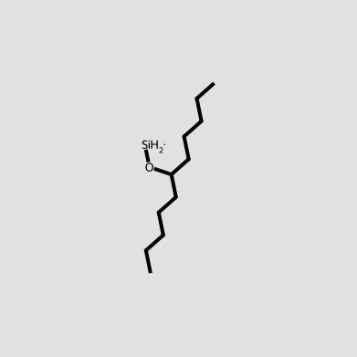 CCCCCC(CCCCC)O[SiH2]